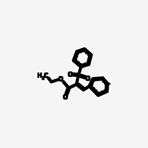 CCOC(=O)C(=Cc1cc[c]cc1)S(=O)(=O)c1ccccc1